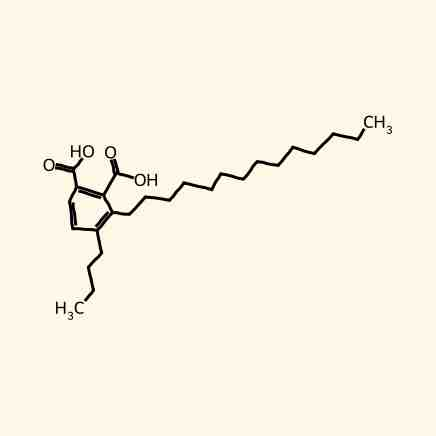 CCCCCCCCCCCCCCc1c(CCCC)ccc(C(=O)O)c1C(=O)O